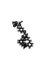 CCOC(Cc1ccc(OCCN(CCCC2CCCCC2)C(=O)Oc2ccccc2OC(F)(F)F)cc1)C(=O)O